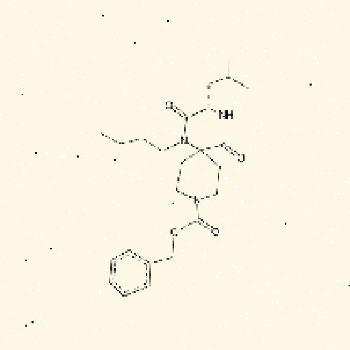 CCCCN1C(=O)[C@H](CC(C)C)NC(=O)C12CCN(C(=O)OCc1ccccc1)CC2